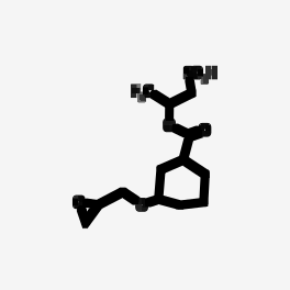 O=C(OC(CS(=O)(=O)O)C(F)(F)F)C1CCCC(OCC2CO2)C1